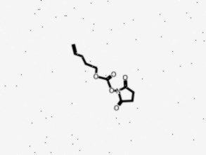 C=CCCCOC(=O)ON1C(=O)CCC1=O